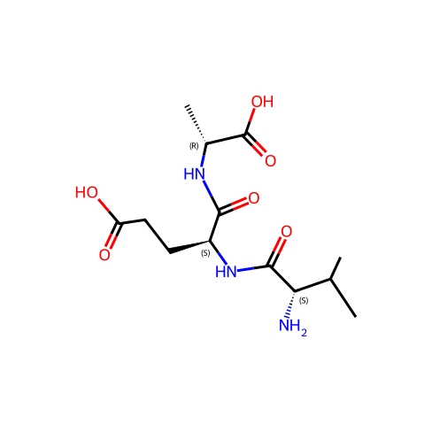 CC(C)[C@H](N)C(=O)N[C@@H](CCC(=O)O)C(=O)N[C@H](C)C(=O)O